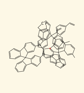 C=Cc1ccc(C2(c3cc(C)ccc3C)C3=C(CCC=C3)c3ccc(N(c4ccc(F)cc4)c4ccc5c(c4)C4(c6ccccc6-5)c5ccccc5-c5ccc(N(c6ccc(F)cc6)c6ccc7c(c6)C(c6ccc(C=C)cc6)(C6C=C(C)C=CC6C)c6ccccc6-7)cc54)cc32)cc1